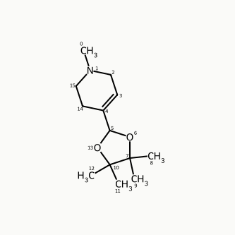 CN1CC=C(C2OC(C)(C)C(C)(C)O2)CC1